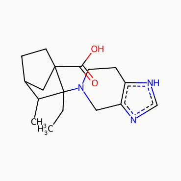 CCC1(N2CCc3[nH]cnc3C2)C(C)C2CCC1(C(=O)O)C2